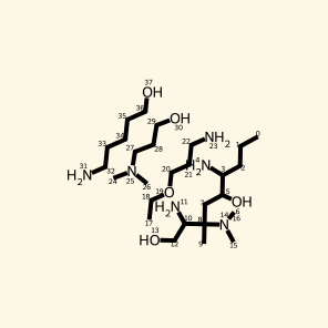 CCCC(N)C(O)CC(C)(C(N)CO)N(C)C.CCOCCCN.CN(C)CCCO.NCCCCCO